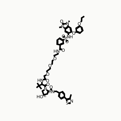 CCCOc1cccc(Oc2cc3c(cc2NS(=O)(=O)c2cccc(C(=O)NCCOCCOCCOCC(=O)NC(C(=O)N4C[C@H](O)C[C@H]4C(=O)NCc4ccc(-c5scnc5C)cc4)C(C)(C)C)c2)n(C)c(=O)n3C)c1